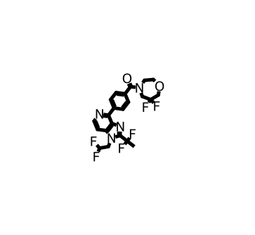 CC(F)(F)c1nc2c(-c3ccc(C(=O)N4CCOCC(F)(F)C4)cc3)nccc2n1CC(F)F